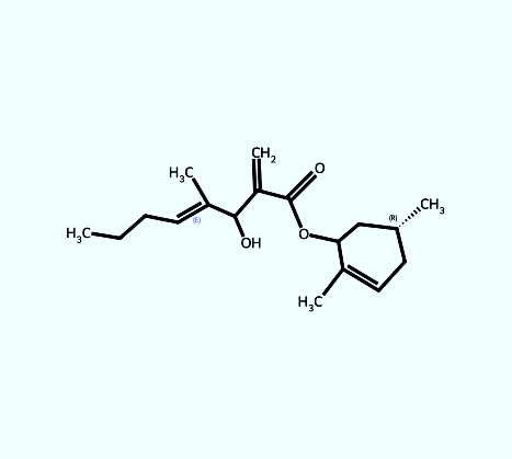 C=C(C(=O)OC1C[C@H](C)CC=C1C)C(O)/C(C)=C/CCC